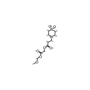 COCOC(=O)COC(=O)CCN1CCS(=O)(=O)CC1